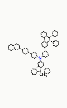 CC1(c2ccccc2)c2ccccc2-c2cc(N(c3ccc(-c4ccc(-c5ccc6ccccc6c5)cc4)cc3)c3cccc(-c4ccc5c(c4)c(-c4ccccc4)c(-c4ccccc4)c4ccccc45)c3)ccc21